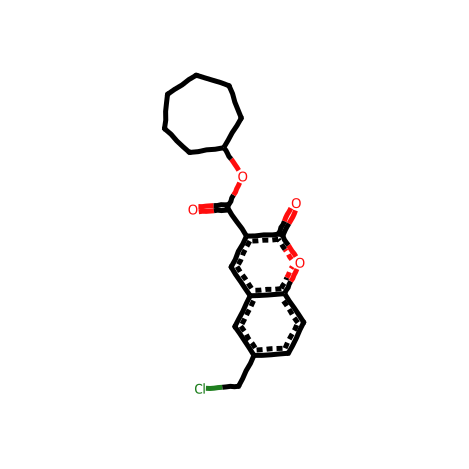 O=C(OC1CCCCCC1)c1cc2cc(CCl)ccc2oc1=O